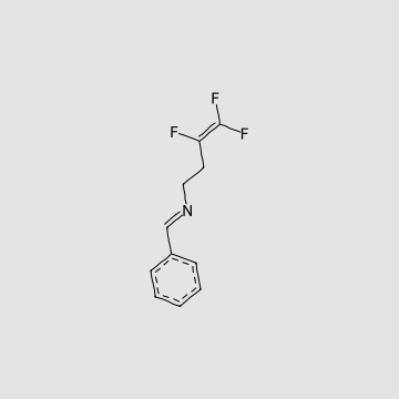 FC(F)=C(F)CCN=Cc1ccccc1